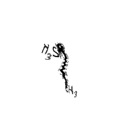 CCCCCCCCCCCCCc1sccc1[SiH3]